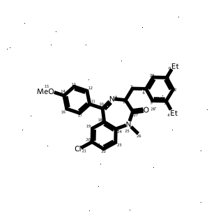 CCc1cc(CC)cc(CC2N=C(c3ccc(OC)cc3)c3cc(Cl)ccc3N(C)C2=O)c1